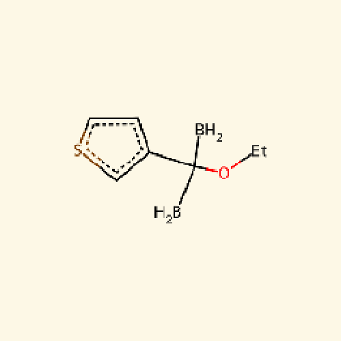 BC(B)(OCC)c1ccsc1